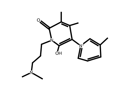 Cc1ccc[n+](-c2c(C)c(C)c(=O)n(CCCN(C)C)c2O)c1